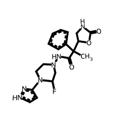 CC(C(=O)NN1CCN(c2cc[nH]n2)C(F)C1)(c1ccccc1)C1CNC(=O)O1